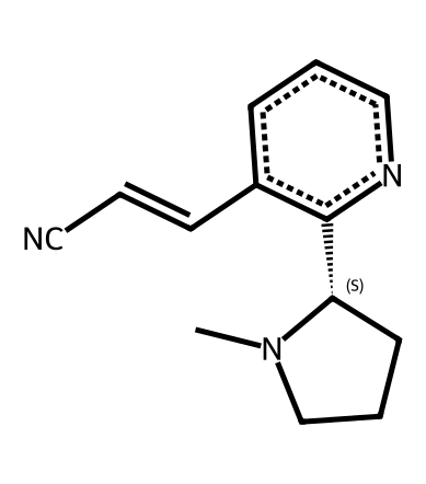 CN1CCC[C@H]1c1ncccc1C=CC#N